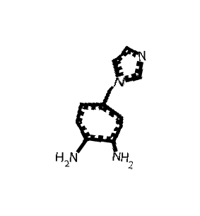 Nc1ccc(-n2ccnc2)cc1N